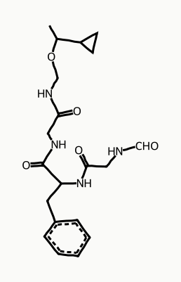 CC(OCNC(=O)CNC(=O)C(Cc1ccccc1)NC(=O)CNC=O)C1CC1